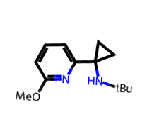 COc1cccc(C2(NC(C)(C)C)CC2)n1